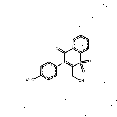 COc1ccc(C2=C(CO)S(=O)(=O)c3ccccc3C2=O)cc1